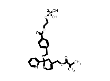 C=C(C)C(=O)OCC1=CCSC(SCc2ccc(C(=O)OCCOP(=O)(O)O)cc2)(c2ccccn2)C1